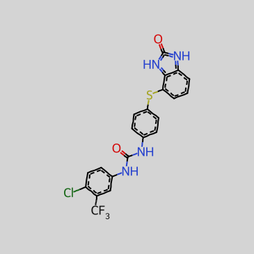 O=C(Nc1ccc(Sc2cccc3[nH]c(=O)[nH]c23)cc1)Nc1ccc(Cl)c(C(F)(F)F)c1